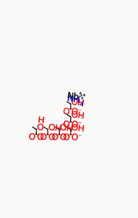 CC(O)C(=O)[O-].CC(O)C(=O)[O-].CC(O)C(=O)[O-].CC(O)C(=O)[O-].CC(O)C(=O)[O-].CC(O)C(=O)[O-].[NH4+].[Nb+5]